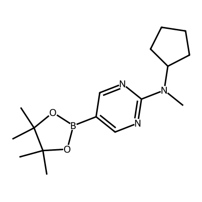 CN(c1ncc(B2OC(C)(C)C(C)(C)O2)cn1)C1CCCC1